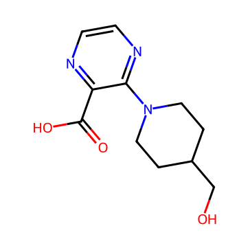 O=C(O)c1nccnc1N1CCC(CO)CC1